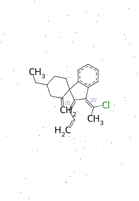 C=C/C=C1\C(=C(/C)Cl)c2ccccc2C12CCC(CC)CC2=C